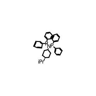 CC(C)[C@H]1CC[C@@H](N(P(c2ccccc2)c2ccccc2)P(c2ccccc2)c2ccccc2)CC1